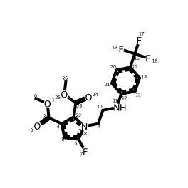 COC(=O)c1cc(F)n(CCNc2ccc(C(F)(F)F)cc2)c1C(=O)OC